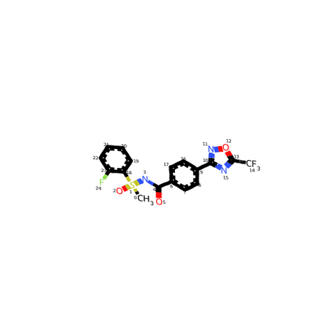 CS(=O)(=NC(=O)c1ccc(-c2noc(C(F)(F)F)n2)cc1)c1ccccc1F